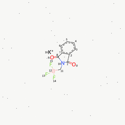 O=C1c2ccccc2C(=O)N1C[B-](F)(F)F.[K+]